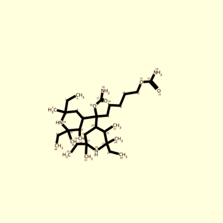 CCC1(C)CC(C(CCCCCOC(N)=O)(OC(N)=O)C2CC(C)(CC)NC(C)(CC)C2C)C(C)C(C)(CC)N1